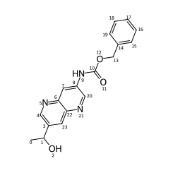 CC(O)c1cnc2cc(NC(=O)OCc3ccccc3)cnc2c1